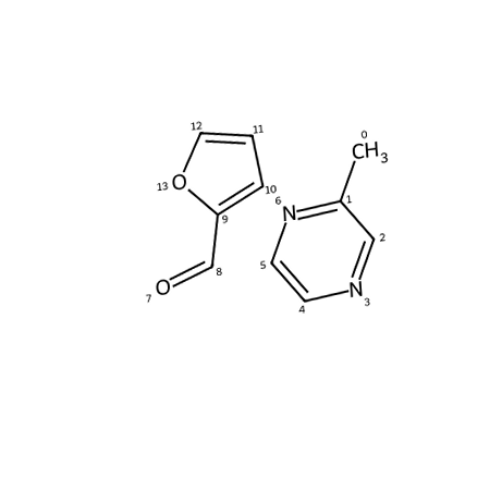 Cc1cnccn1.O=Cc1ccco1